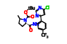 CC1CC[C@@H](C(=O)Nc2cc(C(F)(F)F)ccc2-c2cc(Cl)ncn2)N1C(=O)OC(C)(C)C